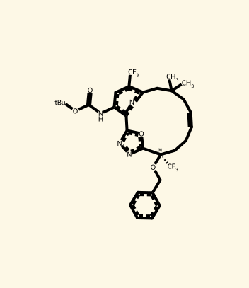 CC1(C)CC=CCC[C@](OCc2ccccc2)(C(F)(F)F)c2nnc(o2)-c2nc(c(C(F)(F)F)cc2NC(=O)OC(C)(C)C)C1